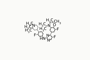 CC(C)N1CC(C)(C)Oc2c(F)cc(-c3nc(Nc4ccc(C5CCN(C)C(C)(C)C5)c(F)c4)ncc3F)cc21